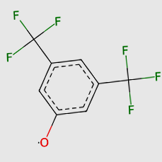 [O]c1cc(C(F)(F)F)cc(C(F)(F)F)c1